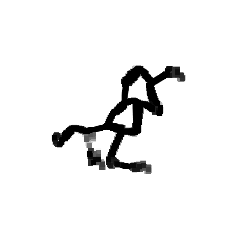 COc1cc2nc(C)ccc2cc1[C@H](N)C=O